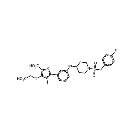 Cc1c(-c2cccc(NC3CCN(S(=O)(=O)Cc4ccc(F)cc4)CC3)c2)sc(C(=O)O)c1OCC(=O)O